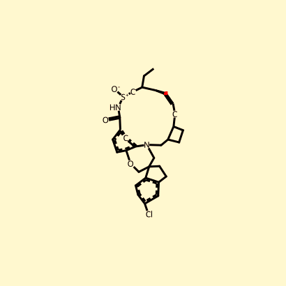 CCC1C[S+]([O-])NC(=O)c2ccc3c(c2)N(CC2CCC2CC2=CC1C2)CC1(CCc2cc(Cl)ccc21)CO3